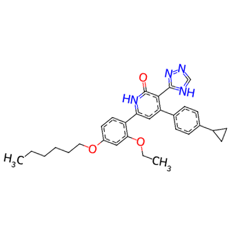 CCCCCCOc1ccc(-c2cc(-c3ccc(C4CC4)cc3)c(-c3nnc[nH]3)c(=O)[nH]2)c(OCC)c1